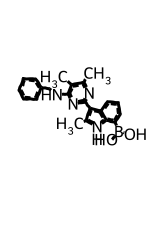 Cc1nc(-c2c(C)[nH]c3c(B(O)O)cccc23)nc(NCc2ccccc2)c1C